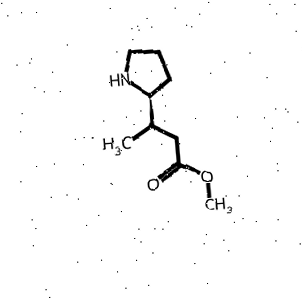 COC(=O)CC(C)[C@@H]1CCCN1